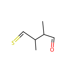 CC(C=O)C(C)C=S